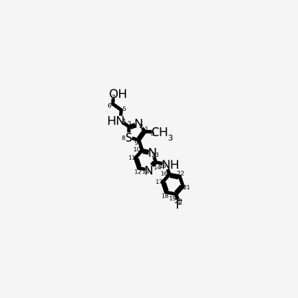 Cc1nc(NCCO)sc1-c1ccnc(Nc2ccc(F)cc2)n1